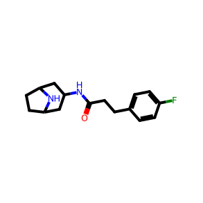 O=C(CCc1ccc(F)cc1)NC1CC2CCC(C1)N2